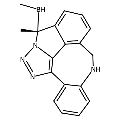 CB[C@]1(C)c2cccc3c2-c2c(nnn21)-c1ccccc1NC3